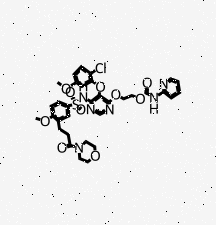 COc1ccc(Cl)c(Oc2c(NS(=O)(=O)c3ccc(OC)c(CCC(=O)N4CCOCC4)c3)ncnc2OCCOC(=O)Nc2ccccn2)c1